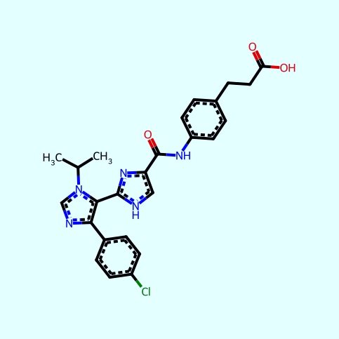 CC(C)n1cnc(-c2ccc(Cl)cc2)c1-c1nc(C(=O)Nc2ccc(CCC(=O)O)cc2)c[nH]1